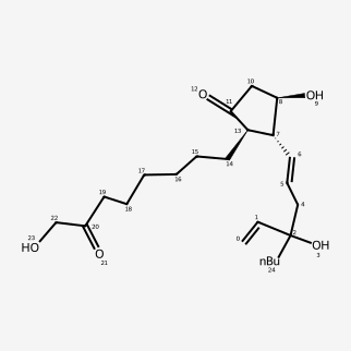 C=CC(O)(CC=C[C@H]1[C@H](O)CC(=O)[C@@H]1CCCCCCC(=O)CO)CCCC